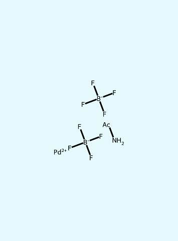 CC(N)=O.F[B-](F)(F)F.F[B-](F)(F)F.[Pd+2]